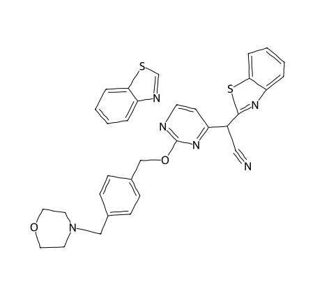 N#CC(c1ccnc(OCc2ccc(CN3CCOCC3)cc2)n1)c1nc2ccccc2s1.c1ccc2scnc2c1